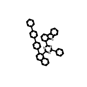 c1ccc(-c2ccc(-c3ccc(-c4ccc5ccccc5c4-c4nc(-c5ccccc5)nc(-c5cccc6c5sc5ccccc56)n4)cc3)cc2)cc1